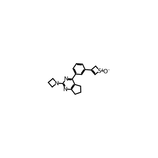 [O-][S+]1C=C(c2cccc(-c3nc(N4CCC4)nc4c3CCC4)c2)C1